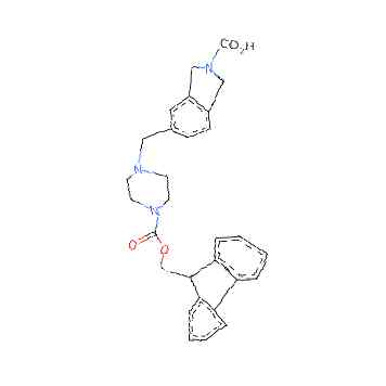 O=C(O)N1Cc2ccc(CN3CCN(C(=O)OCC4c5ccccc5-c5ccccc54)CC3)cc2C1